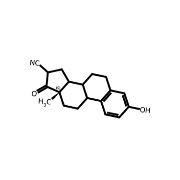 C[C@]12CCC3c4ccc(O)cc4CCC3C1CC(C#N)C2=O